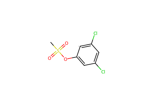 CS(=O)(=O)Oc1[c]c(Cl)cc(Cl)c1